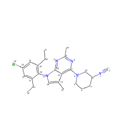 [C-]#[N+]C1CCCN(c2nc(C)nc3c2c(C)cn3-c2c(CC)cc(Br)cc2CC)C1